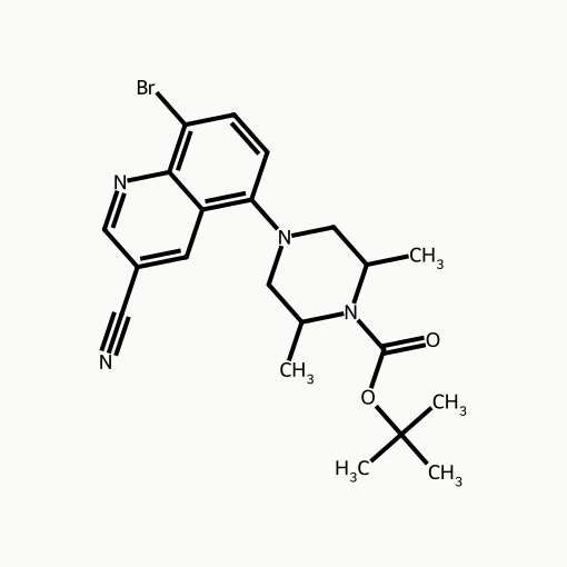 CC1CN(c2ccc(Br)c3ncc(C#N)cc23)CC(C)N1C(=O)OC(C)(C)C